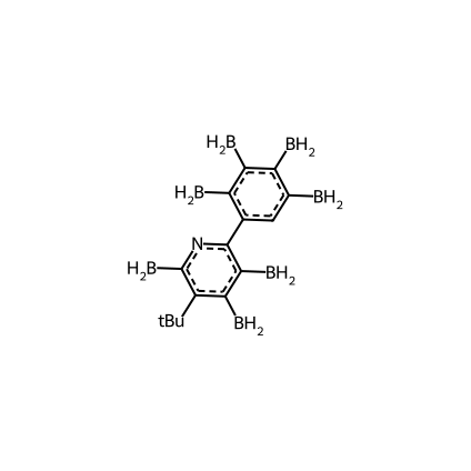 Bc1cc(-c2nc(B)c(C(C)(C)C)c(B)c2B)c(B)c(B)c1B